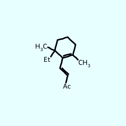 CCC1(C)CCCC(C)=C1/C=C/C(C)=O